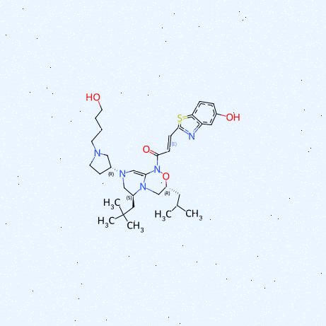 CC(C)C[C@@H]1CN2C(=CN([C@@H]3CCN(CCCCO)C3)C[C@@H]2CC(C)(C)C)N(C(=O)/C=C/c2nc3cc(O)ccc3s2)O1